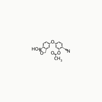 CC(=O)Oc1cc(Oc2ccc3c(c2)COB3O)ccc1C#N